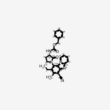 CCc1c(C)c(C#N)c2nc3ccccn3c2c1N1CC[C@H](NC(=O)OCc2ccccc2)C1=O